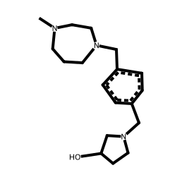 CN1CCCN(Cc2ccc(CN3CCC(O)C3)cc2)CC1